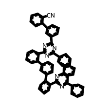 N#Cc1ccccc1-c1cccc(-c2nc(-c3ccccc3)nc(-c3ccccc3-c3cccc(-c4ccccc4-c4nc(-c5ccccc5)c5ccccc5n4)c3)n2)c1